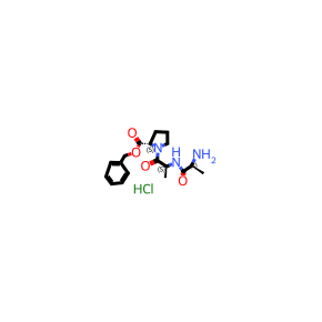 C[C@H](N)C(=O)N[C@@H](C)C(=O)N1CCC[C@H]1C(=O)OCc1ccccc1.Cl